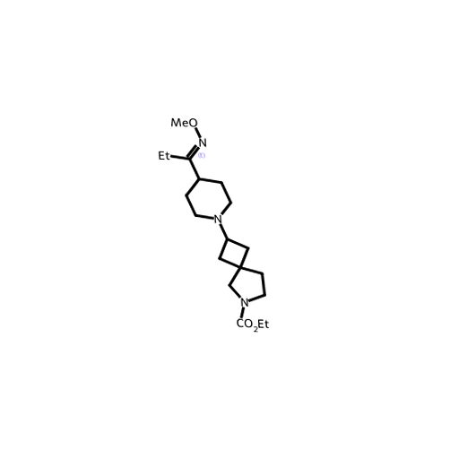 CCOC(=O)N1CCC2(CC(N3CCC(/C(CC)=N/OC)CC3)C2)C1